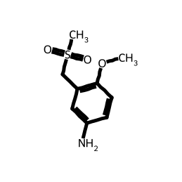 COc1ccc(N)cc1CS(C)(=O)=O